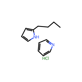 CCCCc1ccc[nH]1.Cl.c1ccncc1